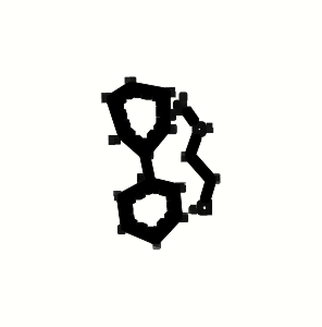 [SiH3]OCCCl.c1ccc(-c2ccccc2)cc1